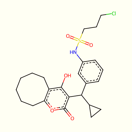 O=c1oc2c(c(O)c1C(c1cccc(NS(=O)(=O)CCCCl)c1)C1CC1)CCCCCC2